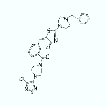 O=C1N=C(N2CCN(Cc3ccccc3)CC2)S/C1=C/c1cccc(C(=O)N2CCN(c3nsnc3Cl)CC2)c1